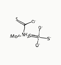 NC([O-])=S.[Mo+4].[O-]P([O-])(=S)[S-]